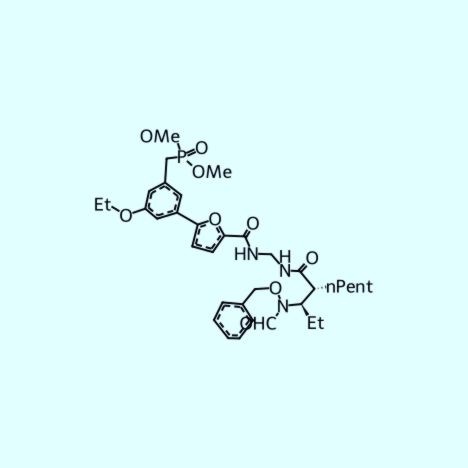 CCCCC[C@@H](C(=O)NCNC(=O)c1ccc(-c2cc(CP(=O)(OC)OC)cc(OCC)c2)o1)[C@@H](CC)N(C=O)OCc1ccccc1